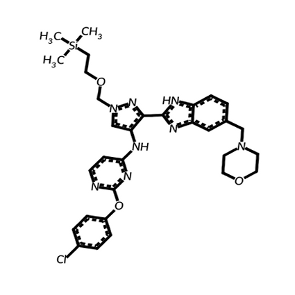 C[Si](C)(C)CCOCn1cc(Nc2ccnc(Oc3ccc(Cl)cc3)n2)c(-c2nc3cc(CN4CCOCC4)ccc3[nH]2)n1